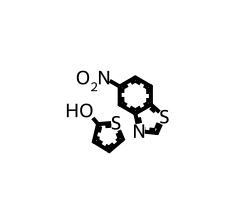 O=[N+]([O-])c1ccc2scnc2c1.Oc1cccs1